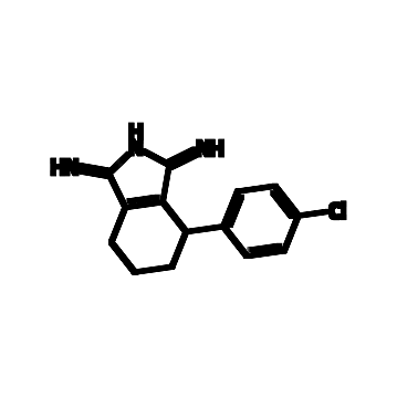 N=C1NC(=N)C2=C1CCCC2c1ccc(Cl)cc1